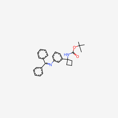 CC(C)(C)OC(=O)NC1(c2cccc(N=C(c3ccccc3)c3ccccc3)c2)CCC1